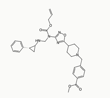 C=CCOC(=O)N(CNC1C[C@@H]1c1ccccc1)c1noc(C2CCN(Cc3ccc(C(=O)OC)cc3)CC2)n1